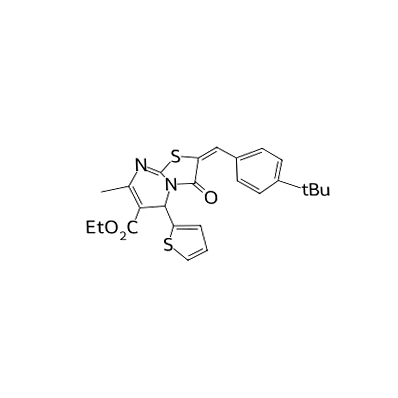 CCOC(=O)C1=C(C)N=c2s/c(=C/c3ccc(C(C)(C)C)cc3)c(=O)n2C1c1cccs1